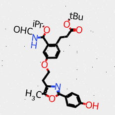 Cc1oc(-c2ccc(O)cc2)nc1CCOc1ccc(CCC(=O)OC(C)(C)C)c(C(NC=O)OC(C)C)c1